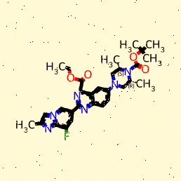 CCOC(=O)c1nc(-c2cc(F)c3nc(C)cn3c2)nc2ccc(N3C[C@@H](C)N(C(=O)OC(C)(C)C)[C@@H](C)C3)cc12